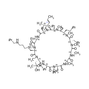 C/C=C/C[C@@H](C)C[C@@H]1C(=O)N[C@H](CC)C(=O)N(C)[C@H](CSCCCNCC(C)C)C(=O)N(C)[C@@H](CC(C)(C)O)C(=O)N[C@H](C(C)C)C(=O)N(C)[C@H](CC(C)C)C(=O)N[C@H](C)C(=O)N[C@@H](C)C(=O)N(C)[C@@H](CC(C)C)C(=O)N(C)[C@H](CCC(C)C)C(=O)N(C)[C@H](C(C)C)C(=O)N1C